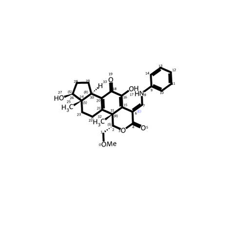 COC[C@H]1OC(=O)/C(=C/Nc2ccccc2)C2=C(O)C(=O)C3=C([C]C[C@]4(C)[C@@H](O)CC[C@@H]34)[C@]21C